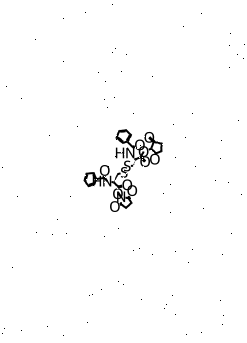 O=C(N[C@@H](CSSC[C@H](NC(=O)c1ccccc1)C(=O)ON1C(=O)CCC1=O)C(=O)OC1C(=O)CCC1=O)c1ccccc1